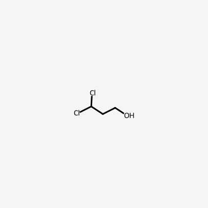 OCCC(Cl)Cl